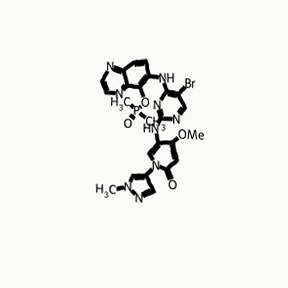 COc1cc(=O)n(-c2cnn(C)c2)cc1Nc1ncc(Br)c(Nc2ccc3nccnc3c2OP(C)(C)=O)n1